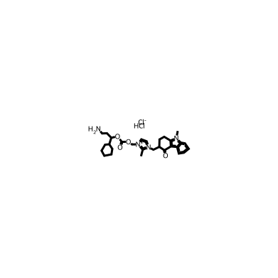 Cc1n(CC2CCc3c(c4ccccc4n3C)C2=O)cc[n+]1COC(=O)OC(CCN)C1CCCCC1.Cl.[Cl-]